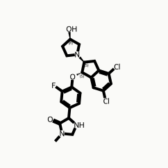 CN1CNC(c2ccc(O[C@H]3c4cc(Cl)cc(Cl)c4C[C@@H]3N3CC[C@@H](O)C3)c(F)c2)C1=O